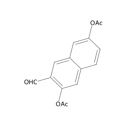 CC(=O)Oc1ccc2cc(OC(C)=O)c(C=O)cc2c1